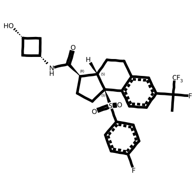 CC(F)(c1ccc2c(c1)CC[C@H]1[C@H](C(=O)N[C@H]3C[C@@H](O)C3)CC[C@@]21S(=O)(=O)c1ccc(F)cc1)C(F)(F)F